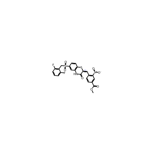 COC(=O)c1ccc(/C=C2/Sc3ccc(S(=O)(=O)Cc4c(F)cccc4F)cc3NC2=O)c([N+](=O)[O-])c1